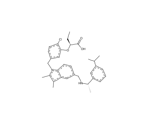 CC[C@H](Oc1cc(Cn2c(C)c(C)c3cc(CN[C@@H](C)c4cccc(C(C)C)c4)ccc32)ccc1Cl)C(=O)O